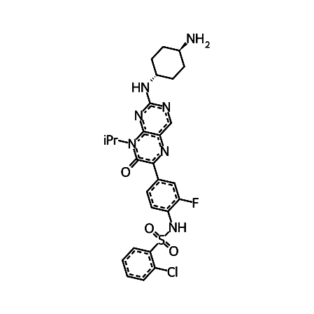 CC(C)n1c(=O)c(-c2ccc(NS(=O)(=O)c3ccccc3Cl)c(F)c2)nc2cnc(N[C@H]3CC[C@H](N)CC3)nc21